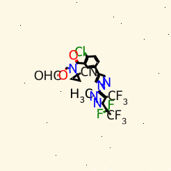 Cn1nc(C(F)(F)C(F)(F)F)c(C(F)(F)F)c1-n1cc(-c2ccc(Cl)c(C(=O)N(COC=O)C3(C#N)CC3)c2)cn1